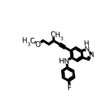 COCCC(C)C#Cc1cc2[nH]ncc2cc1Nc1ccc(F)cc1